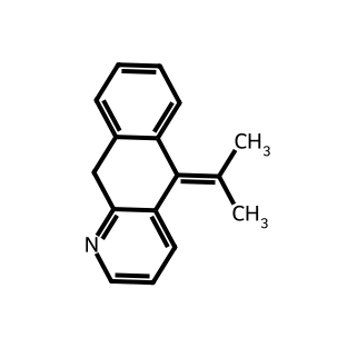 CC(C)=C1c2ccccc2Cc2ncccc21